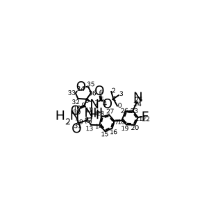 CC(C)(C)OC(=O)NC1(C(=O)N[C@@H](Cc2ccc(-c3ccc(F)c(C#N)c3)cc2)C(N)=O)CCOCC1